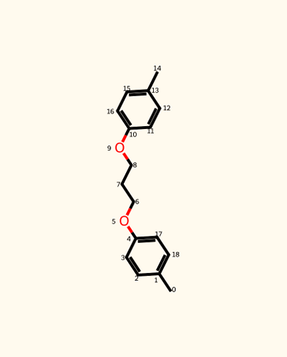 Cc1ccc(OCCCOc2ccc(C)cc2)cc1